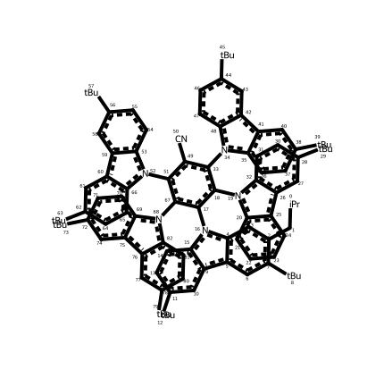 CC(C)Cc1cc2c(cc1C(C)(C)C)c1cc(C(C)(C)C)ccc1n2-c1c(-n2c3ccccc3c3cc(C(C)(C)C)ccc32)c(-n2c3ccc(C(C)(C)C)cc3c3cc(C(C)(C)C)ccc32)c(C#N)c(-n2c3ccc(C(C)(C)C)cc3c3cc(C(C)(C)C)ccc32)c1-n1c2ccc(C(C)(C)C)cc2c2cc(C(C)(C)C)ccc21